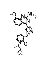 COC[C@H](C)n1cccc(Cn2cc(-c3nc(N)nc4c(OC)cccc34)nn2)c1=O